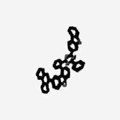 c1ccc(-c2nc(-c3ccc4c(c3)sc3ccccc34)nc(-c3ccccc3-c3cccc4oc5ccc(-c6cc7ccccc7c7ccccc67)cc5c34)n2)cc1